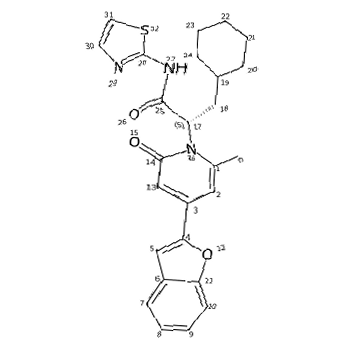 Cc1cc(-c2cc3ccccc3o2)cc(=O)n1[C@@H](CC1CCCCC1)C(=O)Nc1nccs1